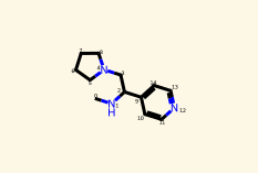 CNC(CN1CCCC1)c1ccncc1